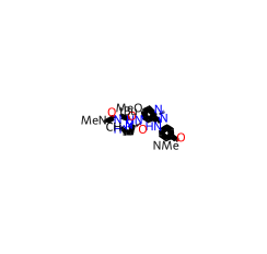 CNC(=O)c1ccc(Nc2ncnc3cc(OC)c(NC(=O)[C@@H]4CCCN4C(=O)[C@@H](NC(=O)[C@H](C)NC)C(C)(C)C)cc23)cc1